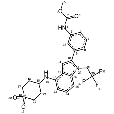 COC(=O)Nc1cccc(-c2cc3c(NC4CCS(=O)(=O)CC4)cccc3n2CC(F)(F)F)c1